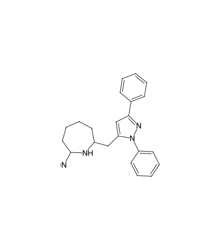 [N]C1CCCCC(Cc2cc(-c3ccccc3)nn2-c2ccccc2)N1